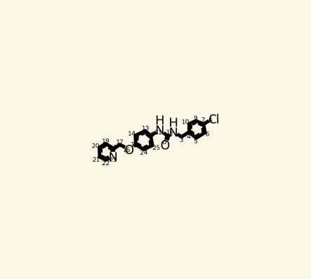 O=C(NCc1ccc(Cl)cc1)Nc1ccc(OCc2ccccn2)cc1